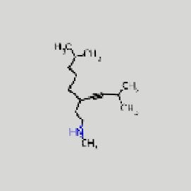 CNCCC(C#CC(C)C)CCCC(C)C